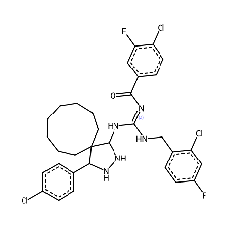 O=C(/N=C(/NCc1ccc(F)cc1Cl)NC1NNC(c2ccc(Cl)cc2)C12CCCCCCCC2)c1ccc(Cl)c(F)c1